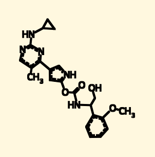 COc1ccccc1C(CO)NC(=O)Oc1cc(-c2nc(NC3CC3)ncc2C)c[nH]1